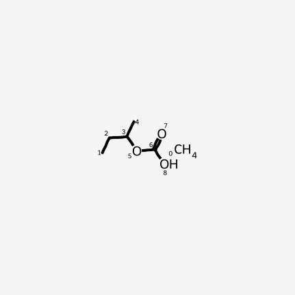 C.CCC(C)OC(=O)O